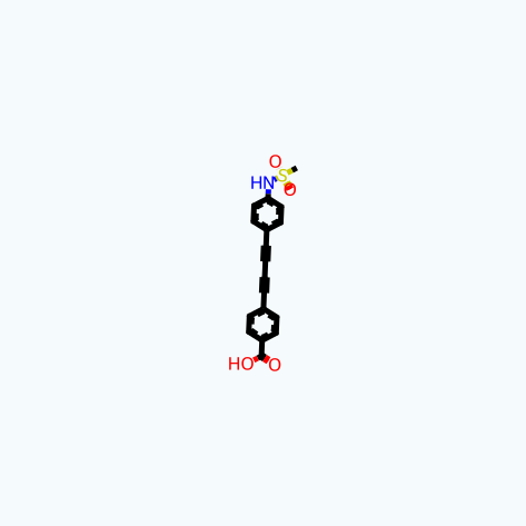 CS(=O)(=O)Nc1ccc(C#CC#Cc2ccc(C(=O)O)cc2)cc1